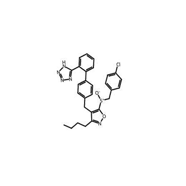 CCCCc1noc([S+]([O-])Cc2ccc(Cl)cc2)c1Cc1ccc(-c2ccccc2-c2nnn[nH]2)cc1